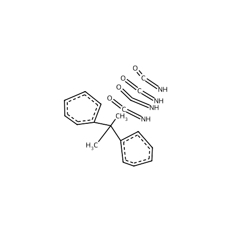 CC(C)(c1ccccc1)c1ccccc1.N=C=O.N=C=O.N=C=O.N=C=O